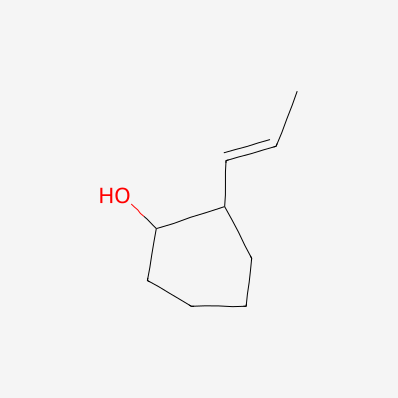 C/C=C/C1CCCCC1O